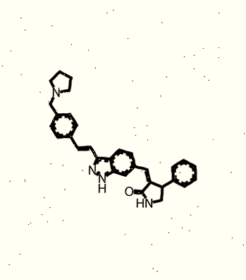 O=C1NCC(c2ccccc2)C1=Cc1ccc2c(C=Cc3ccc(CN4CCCC4)cc3)n[nH]c2c1